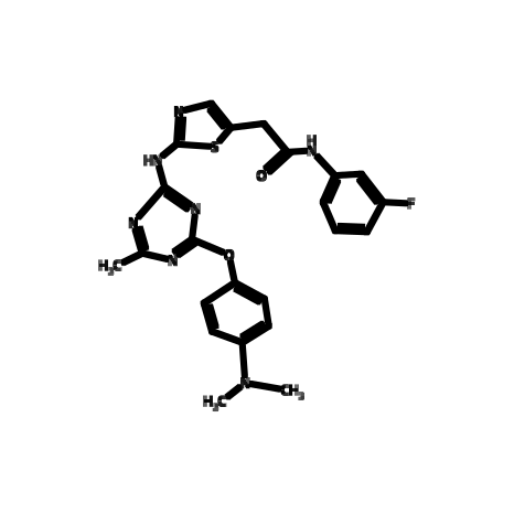 Cc1nc(Nc2ncc(CC(=O)Nc3cccc(F)c3)s2)nc(Oc2ccc(N(C)C)cc2)n1